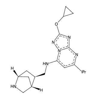 CC(C)c1cc(NC[C@@H]2C[C@@H]3C[C@H]2CN3)n2nc(OC3CC3)nc2n1